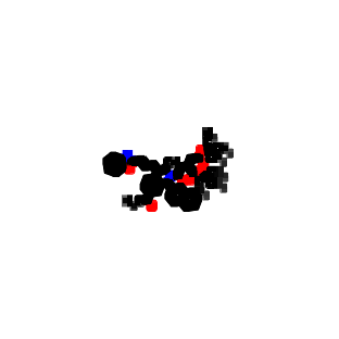 CC(=O)c1ccc(C(C/C=C/c2nc3ccccc3o2)C(C)N(Cc2ccc3ccccc3c2)C(=O)CC(CC(=O)OC(C)(C)C)C(=O)OC(C)(C)C)cc1